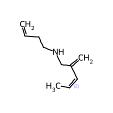 C=CCCNCC(=C)/C=C\C